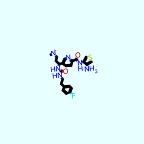 CN(C)CCC(NC(=O)NCCc1ccc(F)cc1)c1ccc(C(=O)Nc2cscc2N)nc1